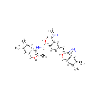 CNC1CO[C@@H](CN[C@H]2c3cc(C)c(C)cc3CO[C@@H]2C)c2ccc(C[C@@H]3OCc4cc(C)c(C)cc4[C@@H]3N)cc21